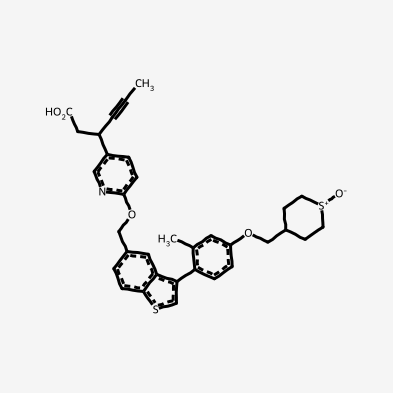 CC#CC(CC(=O)O)c1ccc(OCc2ccc3scc(-c4ccc(OCC5CC[S+]([O-])CC5)cc4C)c3c2)nc1